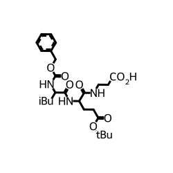 CCC(C)C(NC(=O)OCc1ccccc1)C(=O)NC(CCC(=O)OC(C)(C)C)C(=O)NCCC(=O)O